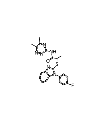 Cc1nnc(NC(=O)C(C)Sc2nc3ccccc3n2-c2ccc(F)cc2)nc1C